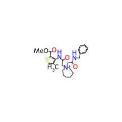 COC(=O)c1scc(C)c1NC(=O)C[N+]1(CC(=O)NCc2ccccc2)CCCCCC1